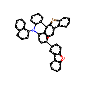 c1ccc(N(c2ccc(-c3ccc4oc5ccccc5c4c3)cc2)c2cccc3ccccc23)c(-c2cccc3c2sc2ccccc23)c1